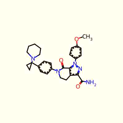 COc1ccc(-n2nc(C(N)=O)c3c2C(=O)N(c2ccc(C4(N5CCCCC5)CC4)cc2)CC3)cc1